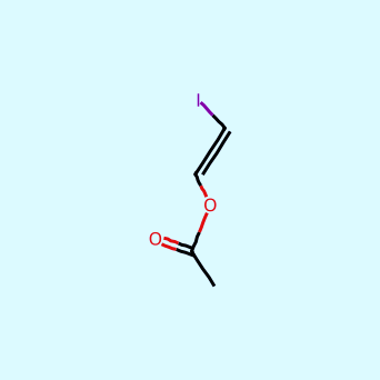 CC(=O)OC=CI